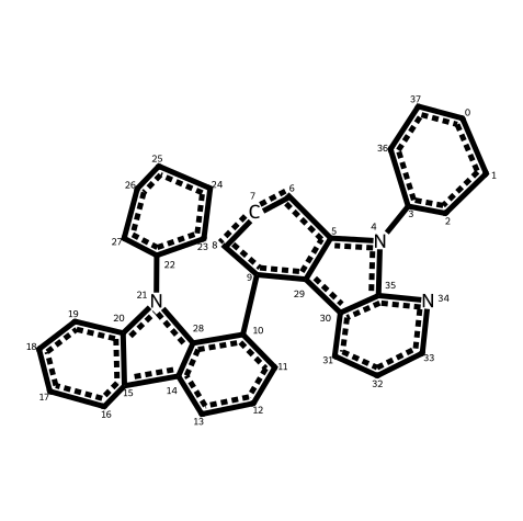 c1ccc(-n2c3cccc(-c4cccc5c6ccccc6n(-c6ccccc6)c45)c3c3cccnc32)cc1